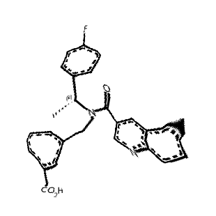 C[C@H](c1ccc(F)cc1)N(Cc1cccc(C(=O)O)c1)C(=O)c1cnc2ccccc2c1